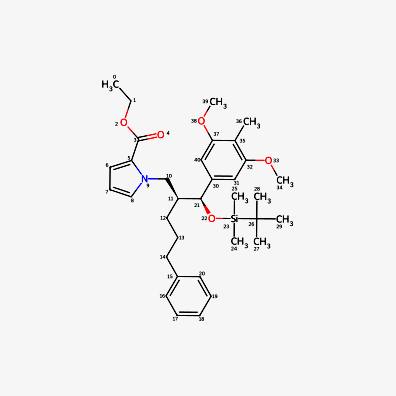 CCOC(=O)c1cccn1C[C@H](CCCc1ccccc1)[C@H](O[Si](C)(C)C(C)(C)C)c1cc(OC)c(C)c(OC)c1